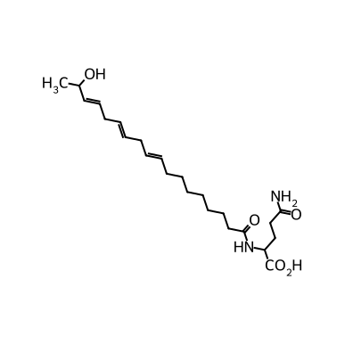 CC(O)C=CCC=CCC=CCCCCCCCC(=O)NC(CCC(N)=O)C(=O)O